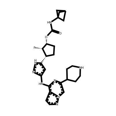 O=C(NC12CC(C1)C2)O[C@@H]1CC[C@H](c2cc(Nc3nc(C4CCNCC4)cn4nccc34)n[nH]2)[C@@H]1F